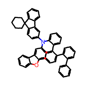 c1ccc(-c2ccccc2-c2ccccc2-c2ccccc2N(c2ccc3c(c2)-c2ccccc2C32CCCCC2)c2ccc3oc4ccccc4c3c2)cc1